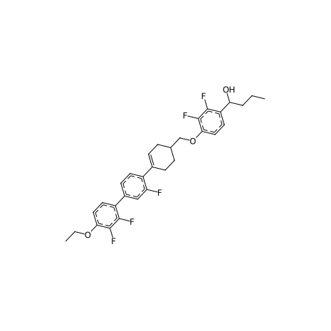 CCCC(O)c1ccc(OCC2CC=C(c3ccc(-c4ccc(OCC)c(F)c4F)cc3F)CC2)c(F)c1F